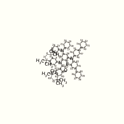 CC1(C)CCC(C)(C)c2cc(N3c4cc(N(c5ccccc5)c5ccccc5)cc5c4B(c4cc(-c6ccccc6)ccc4N5c4ccc(-c5ccccc5)cc4)c4oc5cc6c(cc5c43)C(C)(C)CCC6(C)C)ccc21